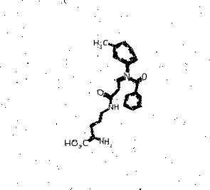 Cc1cccc(N(CCC(=O)NCCCC(N)C(=O)O)C(=O)c2ccccc2)c1